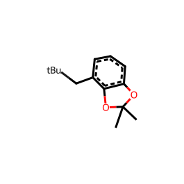 CC(C)(C)Cc1cccc2c1OC(C)(C)O2